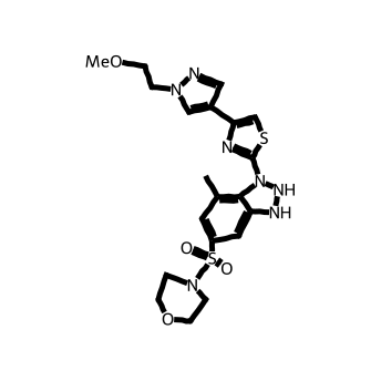 COCCn1cc(-c2csc(N3NNc4cc(S(=O)(=O)N5CCOCC5)cc(C)c43)n2)cn1